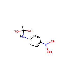 CC(O)(O)Nc1ccc(N(O)O)cc1